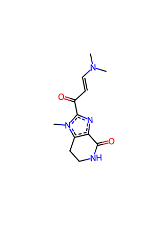 CN(C)C=CC(=O)c1nc2c(n1C)CCNC2=O